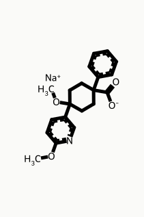 COc1ccc(C2(OC)CCC(C(=O)[O-])(c3ccccc3)CC2)cn1.[Na+]